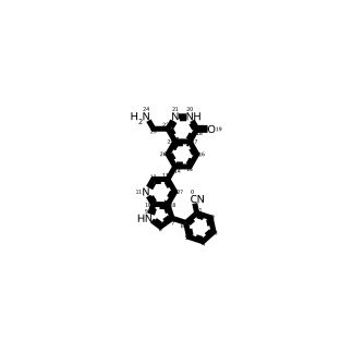 N#Cc1ccccc1-c1c[nH]c2ncc(-c3ccc4c(=O)[nH]nc(CN)c4c3)cc12